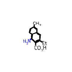 CCc1cc2cc(C)ccc2c(N)c1C(=O)O